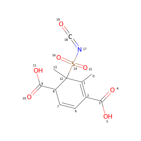 CC1=C(C(=O)O)C=CC(C(=O)O)C1(C)S(=O)(=O)N=C=O